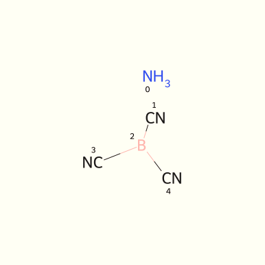 N.N#CB(C#N)C#N